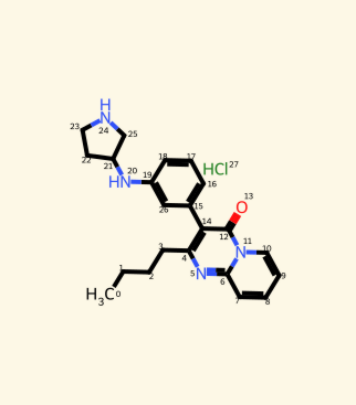 CCCCc1nc2ccccn2c(=O)c1-c1cccc(NC2CCNC2)c1.Cl